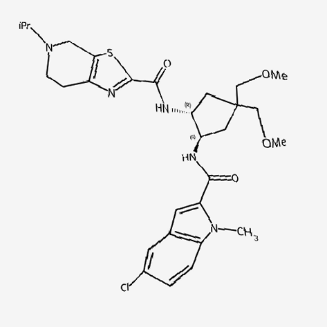 COCC1(COC)C[C@@H](NC(=O)c2nc3c(s2)CN(C(C)C)CC3)[C@H](NC(=O)c2cc3cc(Cl)ccc3n2C)C1